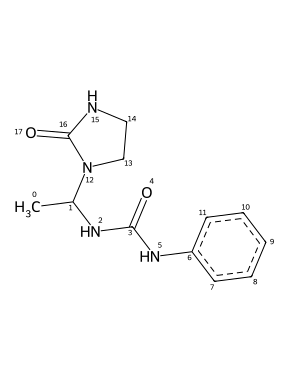 CC(NC(=O)Nc1ccccc1)N1CCNC1=O